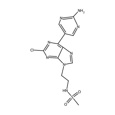 CS(=O)(=O)NCCn1cnc2c(-c3cnc(N)nc3)nc(Cl)nc21